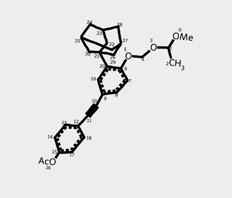 COC(C)OCOc1ccc(C#Cc2ccc(OC(C)=O)cc2)cc1C12CC3CC(CC(C3)C1)C2